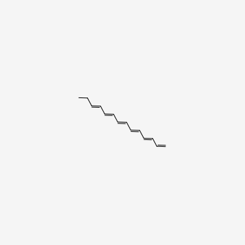 C=CC=CC=CC=CC=CC=CCC